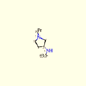 CC(C)N1CC[C@@H](NC(C)(C)C)C1